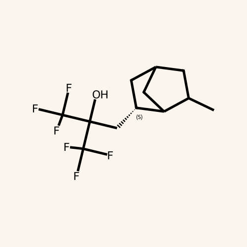 CC1CC2CC1[C@H](CC(O)(C(F)(F)F)C(F)(F)F)C2